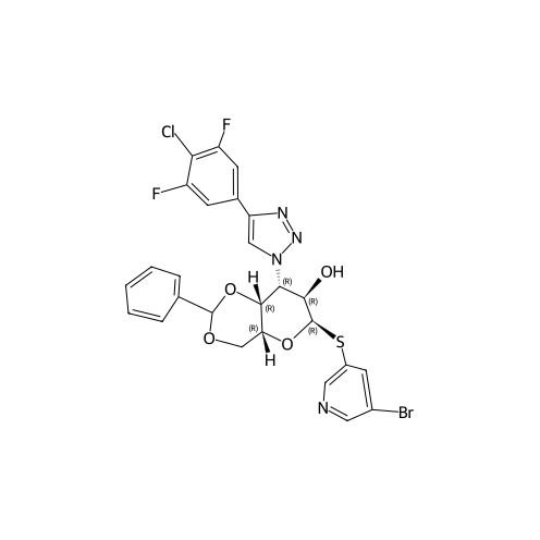 O[C@@H]1[C@@H](n2cc(-c3cc(F)c(Cl)c(F)c3)nn2)[C@H]2OC(c3ccccc3)OC[C@H]2O[C@@H]1Sc1cncc(Br)c1